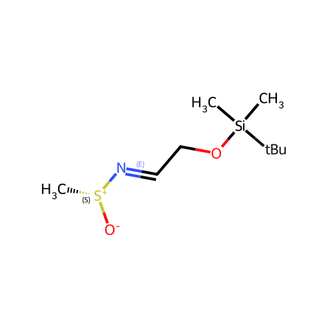 C[S@@+]([O-])/N=C/CO[Si](C)(C)C(C)(C)C